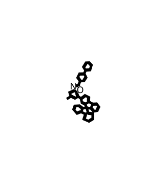 Cc1cc(-c2ccc3c(c2)C2(c4ccccc4-c4ccccc42)c2ccccc2-3)c2oc(-c3ccc(-c4ccccc4)cc3)nc2c1